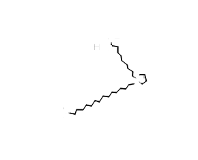 CC(C)CCCCCCCCCCCCCCC[N+]1(CCCCCCCCC(C)C)CCCC1